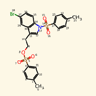 Cc1ccc(S(=O)(=O)OCCc2cn(S(=O)(=O)c3ccc(C)cc3)c3ccc(Br)cc23)cc1